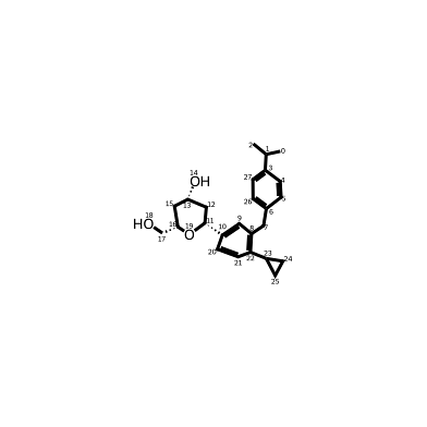 CC(C)c1ccc(Cc2cc([C@H]3C[C@@H](O)C[C@@H](CO)O3)ccc2C2CC2)cc1